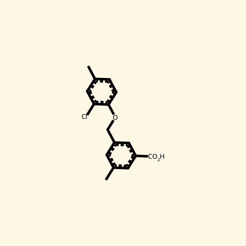 Cc1cc(COc2ccc(C)cc2Cl)cc(C(=O)O)c1